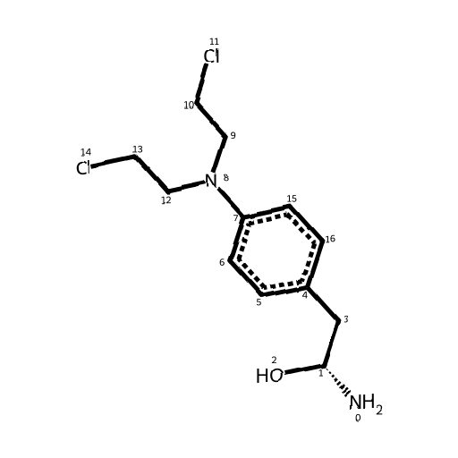 N[C@H](O)Cc1ccc(N(CCCl)CCCl)cc1